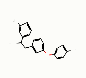 CCCc1ccc(Oc2cccc(CC(C)c3cccc(CCC)c3)c2)cc1